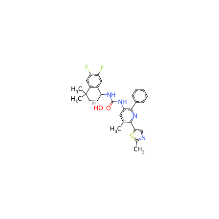 Cc1ncc(-c2nc(-c3ccccc3)c(NC(=O)NC3c4cc(F)c(F)cc4C(C)(C)C[C@H]3O)cc2C)s1